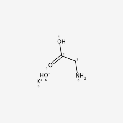 NCC(=O)O.[K+].[OH-]